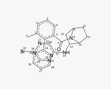 Cc1cccc(C(=O)N2C3CCC2C(Nc2cnc(Br)cn2)C3)c1-c1ncccn1